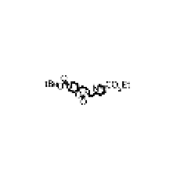 CCOC(=O)c1ccc(CN2CCC3(CCN(C(=O)OC(C)(C)C)CC3)OC2=O)nc1